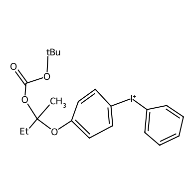 CCC(C)(OC(=O)OC(C)(C)C)Oc1ccc([I+]c2ccccc2)cc1